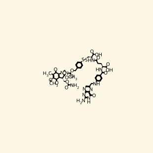 COC1=C(C)C(=O)C2=C(C1=O)[C@@H](COC(N)=O)[C@@]1(OC)N(C(=O)OCc3ccc(SSC[C@H](NC(=O)CC[C@H](NC(=O)c4ccc(NCc5cnc6nc(N)[nH]c(=O)c6n5)cc4)C(=O)O)C(=O)O)cc3)CN21